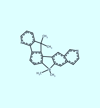 CC1(C)c2cccnc2-c2ccc3c(c21)-c1cc2cnccc2cc1[Si]3(C)C